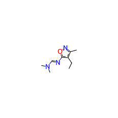 CCc1c(C)noc1/N=C/N(C)C